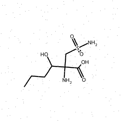 CCCC(O)C(N)(CS(N)(=O)=O)C(=O)O